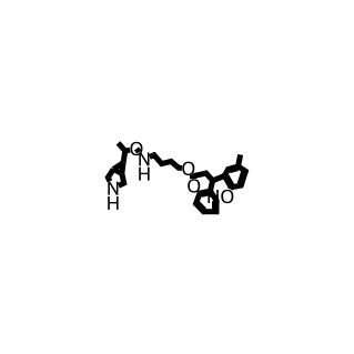 Cc1ccc(O)c(C(CC(=O)OCCCCNOC(C)C2C3CNCC32)c2ccccc2)c1